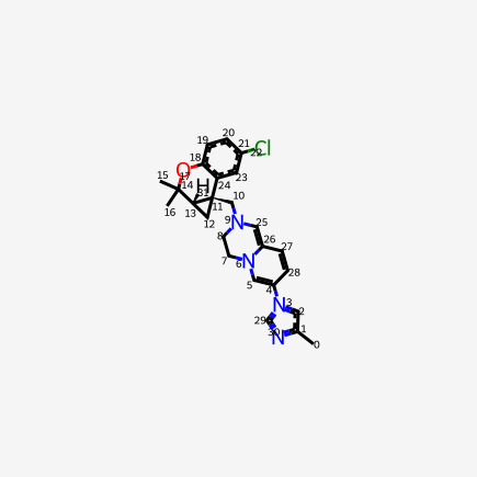 Cc1cn(C2=CN3CCN(C[C@@]45C[C@@H]4C(C)(C)Oc4ccc(Cl)cc45)C=C3C=C2)cn1